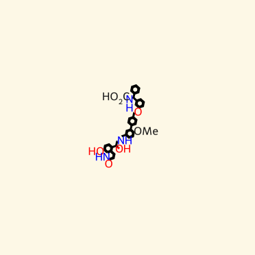 COc1ccc(CNCC(O)c2ccc(O)c3[nH]c(=O)ccc23)cc1-c1ccc(COc2cccc([C@@H](NC(=O)O)c3ccccc3)c2)cc1